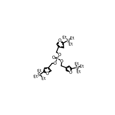 CC[Si](CC)(CC)c1cc(COP(=O)(OCc2coc([Si](CC)(CC)CC)c2)OCc2coc([Si](CC)(CC)CC)c2)co1